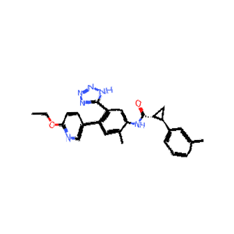 CCOc1ccc(-c2cc(C)c(NC(=O)[C@@H]3C[C@H]3c3cccc(C)c3)cc2-c2nnn[nH]2)cn1